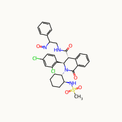 CS(=O)(=O)N[C@H]1CCCC[C@@H]1N1C(=O)c2ccccc2[C@@H](C(=O)NCC(N=O)c2ccccc2)[C@@H]1c1ccc(Cl)cc1Cl